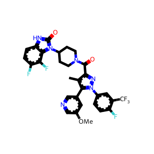 COc1cncc(-c2c(C)c(C(=O)N3CCC(n4c(=O)[nH]c5ccc(F)c(F)c54)CC3)nn2-c2ccc(F)c(C(F)(F)F)c2)c1